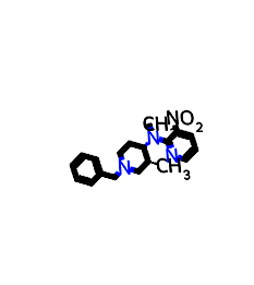 C[C@@H]1CN(Cc2ccccc2)CC[C@H]1N(C)c1ncccc1[N+](=O)[O-]